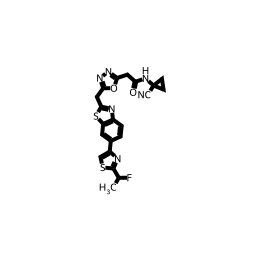 CC(F)c1nc(-c2ccc3nc(Cc4nnc(CC(=O)NC5(C#N)CC5)o4)sc3c2)cs1